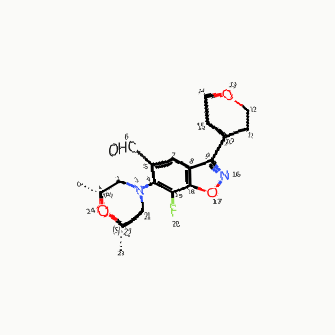 C[C@@H]1CN(c2c(C=O)cc3c(C4CCOCC4)noc3c2F)C[C@H](C)O1